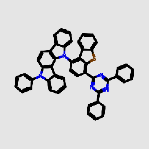 c1ccc(-c2nc(-c3ccccc3)nc(-c3ccc(-n4c5ccccc5c5ccc6c(c7ccccc7n6-c6ccccc6)c54)c4c3sc3ccccc34)n2)cc1